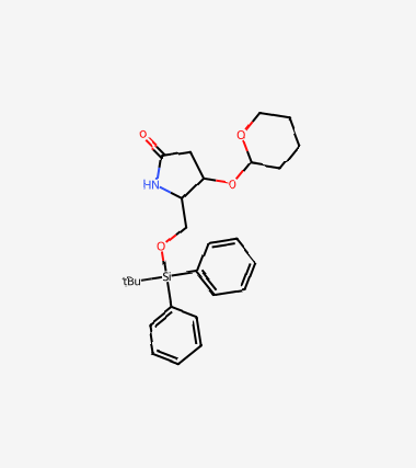 CC(C)(C)[Si](OCC1NC(=O)CC1OC1CCCCO1)(c1ccccc1)c1ccccc1